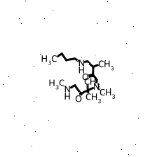 CCCCNCC(C)C(=O)CN(C)C(C)(C)C(=O)CNC